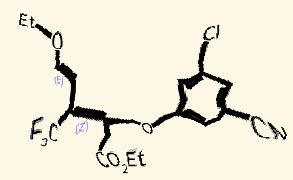 CCO/C=C/C(=C(\COc1cc(Cl)cc(C#N)c1)C(=O)OCC)C(F)(F)F